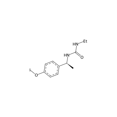 CCNC(=O)N[C@@H](C)c1ccc(OI)cc1